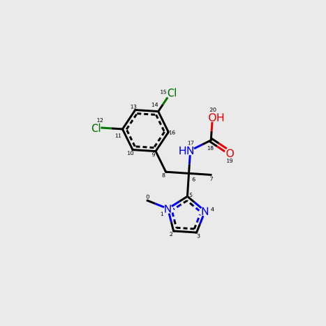 Cn1ccnc1C(C)(Cc1cc(Cl)cc(Cl)c1)NC(=O)O